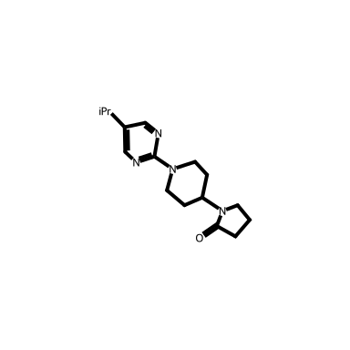 CC(C)c1cnc(N2CCC(N3CCCC3=O)CC2)nc1